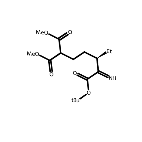 CC[C@H](CCC(C(=O)OC)C(=O)OC)C(=N)C(=O)OC(C)(C)C